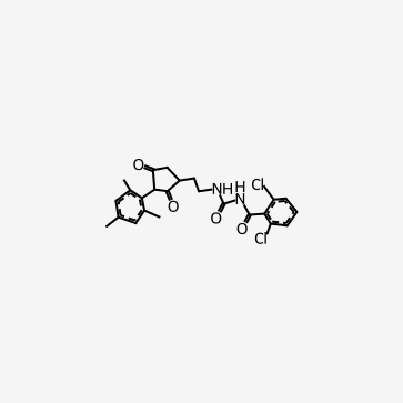 Cc1cc(C)c(C2C(=O)CC(CCNC(=O)NC(=O)c3c(Cl)cccc3Cl)C2=O)c(C)c1